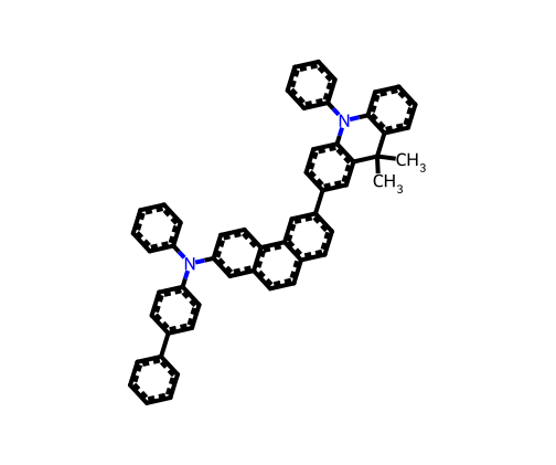 CC1(C)c2ccccc2N(c2ccccc2)c2ccc(-c3ccc4ccc5cc(N(c6ccccc6)c6ccc(-c7ccccc7)cc6)ccc5c4c3)cc21